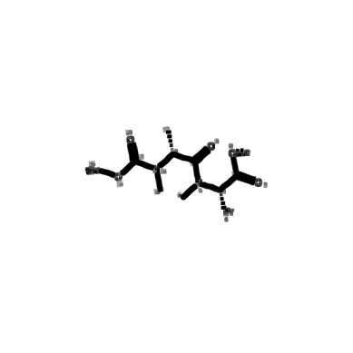 COC(=O)[C@H](C(C)C)N(C)C(=O)[C@@H](C)N(C)C(=O)OC(C)(C)C